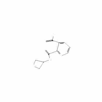 NC(=O)c1cccnc1C(=O)NC1COC1